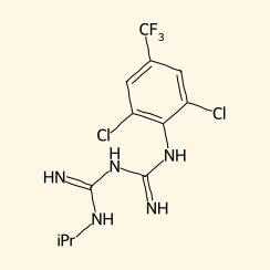 CC(C)NC(=N)NC(=N)Nc1c(Cl)cc(C(F)(F)F)cc1Cl